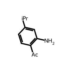 CC(=O)c1ccc(C(C)C)cc1N